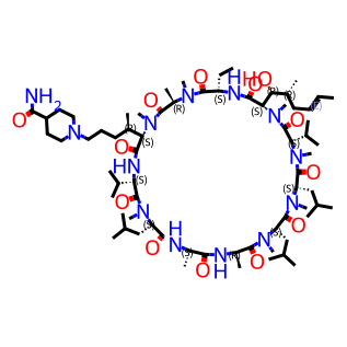 C/C=C/C[C@@H](C)[C@@H](O)[C@H]1C(=O)N[C@@H](CC)C(=O)N(C)[C@H](C)C(=O)N(C)[C@@H]([C@H](C)CCCN2CCC(C(N)=O)CC2)C(=O)N[C@@H](C(C)C)C(=O)N(C)[C@@H](CC(C)C)C(=O)N[C@@H](C)C(=O)N[C@H](C)C(=O)N(C)[C@@H](CC(C)C)C(=O)N(C)[C@@H](CC(C)C)C(=O)N(C)[C@@H](C(C)C)C(=O)N1C